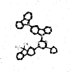 CC1(C)c2ccccc2-c2ccc(-c3cc(-c4ccccc4)nc(-n4c5ccccc5c5cc(-n6c7ccccc7c7ccccc76)ccc54)n3)cc21